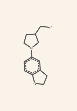 CC(C)CC1CCN(c2ccc3c(c2)CCO3)C1